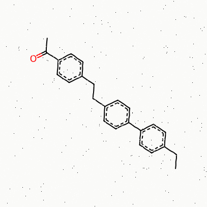 CCc1ccc(-c2ccc(CCc3ccc(C(C)=O)cc3)cc2)cc1